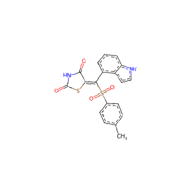 Cc1ccc(S(=O)(=O)C(=C2SC(=O)NC2=O)c2cccc3[nH]ccc23)cc1